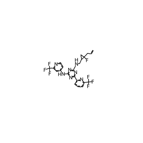 C=CCC1(F)CC1CNc1nc(Nc2ccnc(C(F)(F)F)c2)nc(-c2cccc(C(F)(F)F)n2)n1